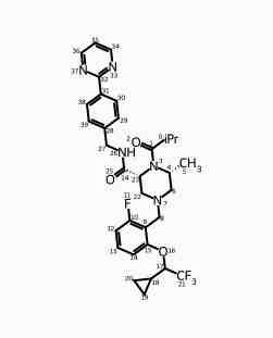 CC(C)C(=O)N1[C@H](C)CN(Cc2c(F)cccc2OC(C2CC2)C(F)(F)F)C[C@@H]1C(=O)NCc1ccc(-c2ncccn2)cc1